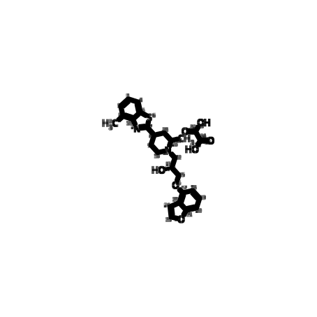 Cc1cccc2sc(C3CCN(C[C@H](O)COc4cccc5occc45)C(C)C3)nc12.O=C(O)C(=O)O